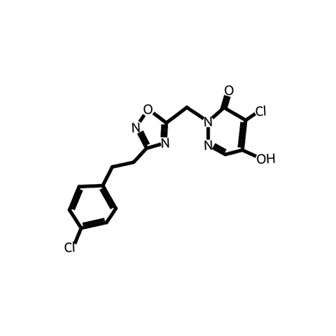 O=c1c(Cl)c(O)cnn1Cc1nc(CCc2ccc(Cl)cc2)no1